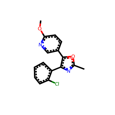 COc1ccc(-c2oc(C)nc2-c2ccccc2Cl)cn1